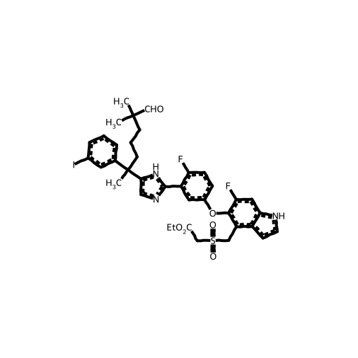 CCOC(=O)CS(=O)(=O)Cc1c(Oc2ccc(F)c(-c3ncc(C(C)(CCCC(C)(C)C=O)c4cccc(I)c4)[nH]3)c2)c(F)cc2[nH]ccc12